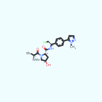 CN[C@H](C(=O)N1C[C@H](O)C[C@H]1C(=O)N[C@@H](CF)c1ccc(-c2ccnn2C)cc1)C(C)(C)C